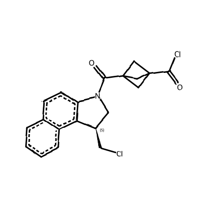 O=C(Cl)C12CC(C(=O)N3C[C@@H](CCl)c4c3c[c]c3ccccc43)(C1)C2